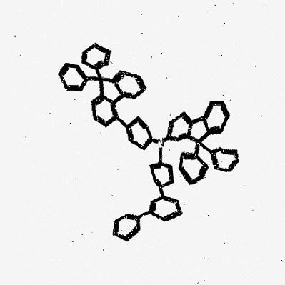 c1ccc(-c2cccc(-c3ccc(N(c4ccc(-c5cccc6c5-c5ccccc5C6(c5ccccc5)c5ccccc5)cc4)c4ccc5c(c4)C(c4ccccc4)(c4ccccc4)c4ccccc4-5)cc3)c2)cc1